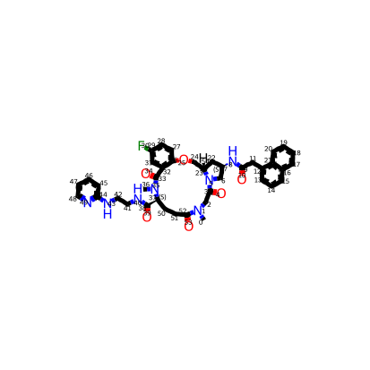 CN1CC(=O)N2C[C@@H](NC(=O)Cc3cccc4ccccc34)C[C@H]2COc2ccc(F)cc2C(=O)N(C)[C@H](C(=O)NCCNc2ccccn2)CCC1=O